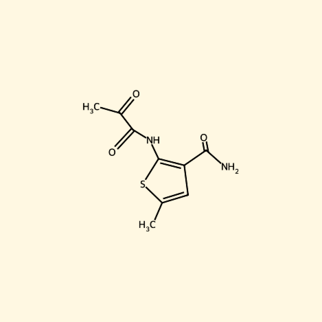 CC(=O)C(=O)Nc1sc(C)cc1C(N)=O